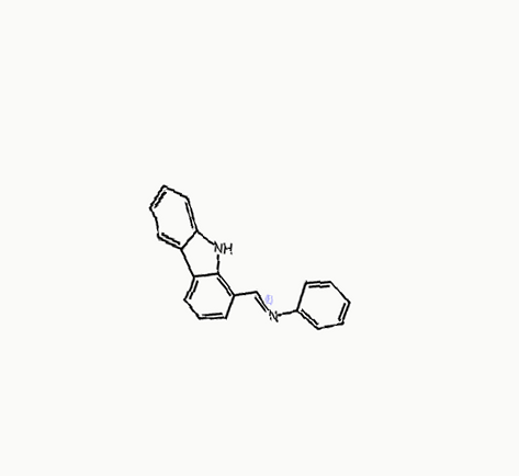 C(=N\c1ccccc1)/c1cccc2c1[nH]c1ccccc12